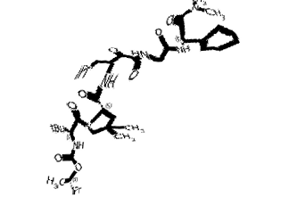 CC(C)CC(NC(=O)[C@@H]1CC(C)(C)CN1C(=O)[C@@H](NC(=O)O[C@@H](C)C(C)C)C(C)(C)C)C(=O)C(=O)NCC(=O)N[C@H](C(=O)N(C)C)c1ccccc1